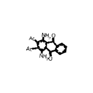 CC(=O)c1c(N)c2c(c(N)c1C(C)=O)C(=O)c1ccccc1C2=O